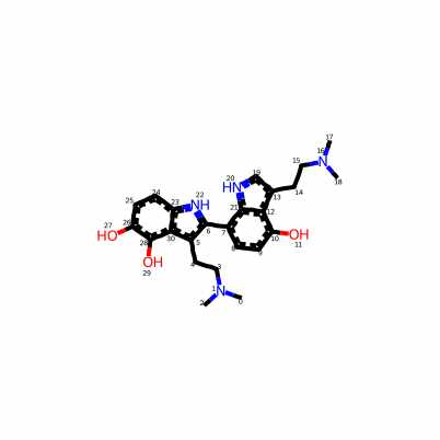 CN(C)CCc1c(-c2ccc(O)c3c(CCN(C)C)c[nH]c23)[nH]c2ccc(O)c(O)c12